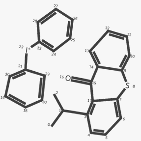 CC(C)c1cccc2sc3ccccc3c(=O)c12.c1ccc([I+]c2ccccc2)cc1